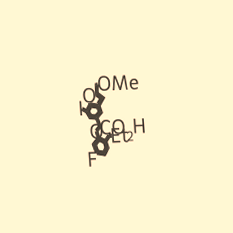 CCC(C(=O)O)c1ccc(F)cc1OCc1cc(I)c2oc(COC)cc2c1